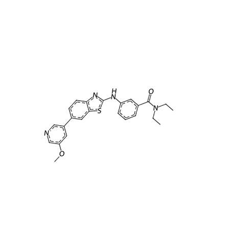 CCN(CC)C(=O)c1cccc(Nc2nc3ccc(-c4cncc(OC)c4)cc3s2)c1